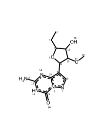 CCC1OC(c2cnn3c(=O)[nH]c(N)nc23)C(OC)C1O